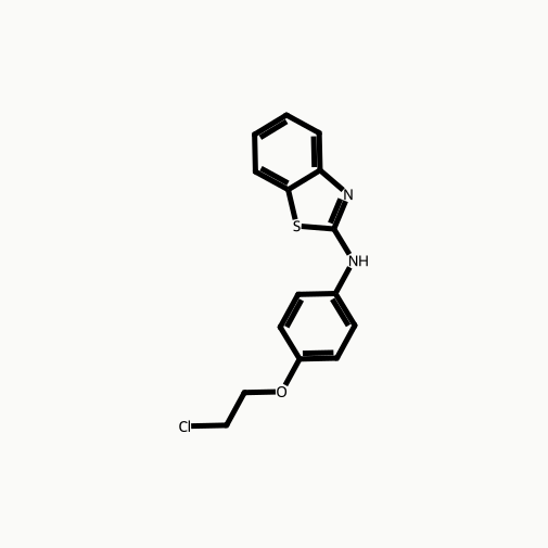 ClCCOc1ccc(Nc2nc3ccccc3s2)cc1